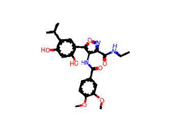 CCNC(=O)c1noc(-c2cc(C(C)C)c(O)cc2O)c1NC(=O)c1ccc(OC)c(OC)c1